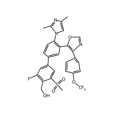 Cc1cn(-c2ccc(-c3cc(F)c(CO)c(S(C)(=O)=O)c3)cc2-c2ocnc2-c2ccc(OC(F)(F)F)cc2)c(C)n1